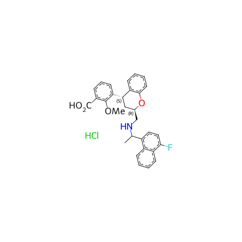 COc1c(C(=O)O)cccc1[C@H]1C[C@H](CNC(C)c2ccc(F)c3ccccc23)Oc2ccccc21.Cl